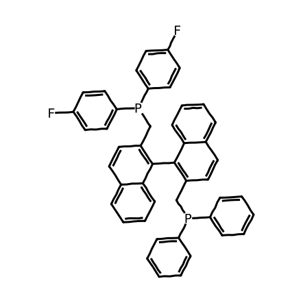 Fc1ccc(P(Cc2ccc3ccccc3c2-c2c(CP(c3ccccc3)c3ccccc3)ccc3ccccc23)c2ccc(F)cc2)cc1